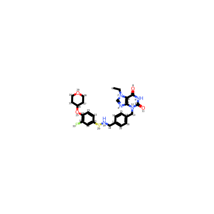 CCn1cnc2c1c(=O)[nH]c(=O)n2Cc1ccc(CNSc2ccc(OC3CCOCC3)c(F)c2)cc1